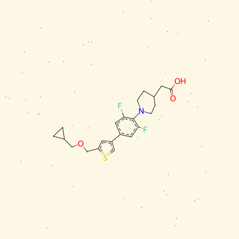 O=C(O)CC1CCN(c2c(F)cc(-c3csc(COCC4CC4)c3)cc2F)CC1